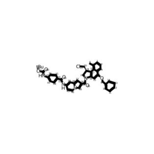 Cc1cccc2c(OCc3ccccc3)cc3c(c12)[C@H](CCl)CN3C(=O)c1cc2cc(NC(=O)c3ccc(NC(=O)OC(C)(C)C)cc3)ccn2c1